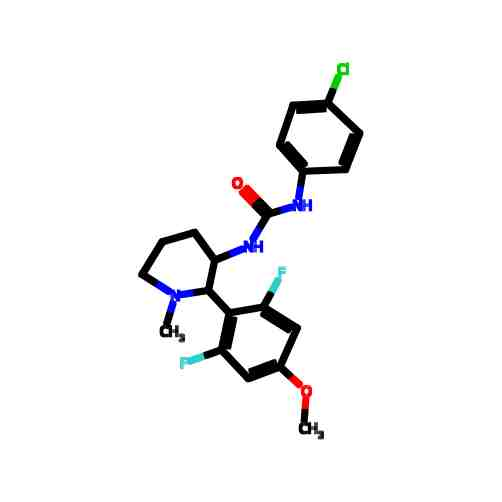 COc1cc(F)c(C2C(NC(=O)Nc3ccc(Cl)cc3)CCCN2C)c(F)c1